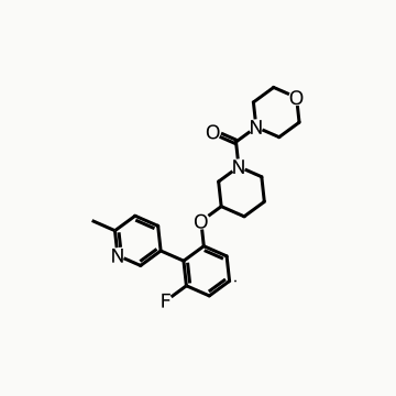 Cc1ccc(-c2c(F)c[c]cc2OC2CCCN(C(=O)N3CCOCC3)C2)cn1